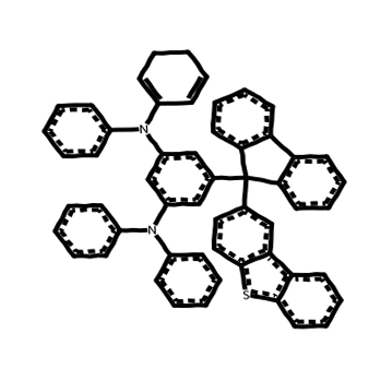 C1=CC(N(c2ccccc2)c2cc(N(c3ccccc3)c3ccccc3)cc(C3(c4ccc5sc6ccccc6c5c4)c4ccccc4-c4ccccc43)c2)=CCC1